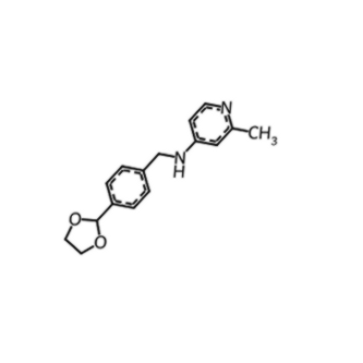 Cc1cc(NCc2ccc(C3OCCO3)cc2)ccn1